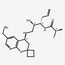 C=CC[C@H](NC(=O)[C@@H](C)F)[C@H](O)CN[C@H]1CC2(CCC2)Oc2ncc(CC(C)(C)C)cc21